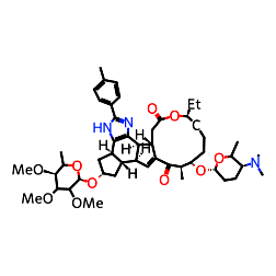 CC[C@H]1CCC[C@H](O[C@H]2CC[C@H](N(C)C)C(C)O2)[C@@H](C)C(=O)C2=C[C@H]3[C@@H]4C[C@H](O[C@@H]5OC(C)[C@H](OC)C(OC)C5OC)C[C@H]4c4[nH]c(-c5ccc(C)cc5)nc4[C@H]3[C@@H]2CC(=O)O1